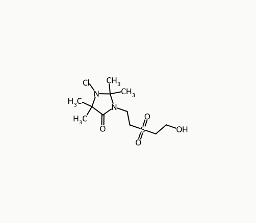 CC1(C)C(=O)N(CCS(=O)(=O)CCO)C(C)(C)N1Cl